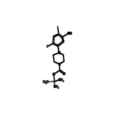 CC(C)(C)OC(=O)N1CCN(c2cc(O)c(I)cc2F)CC1